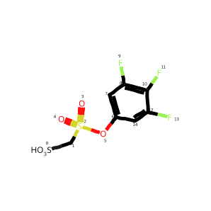 O=S(=O)(O)CS(=O)(=O)Oc1cc(F)c(F)c(F)c1